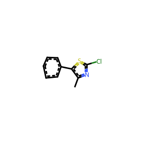 Cc1nc(Cl)sc1-c1ccccc1